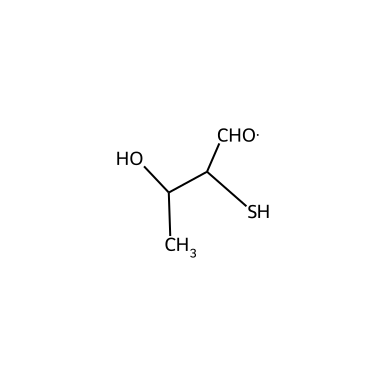 CC(O)C(S)[C]=O